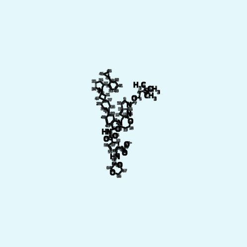 C[Si](C)(C)CCOCn1ccc2cc3c(nc21)OCCCN3c1cc(N2CCC3(CC2)CC(N2CCCC2c2ccccc2C2CC2)C3)ccc1C(=O)NS(=O)(=O)c1ccc(NC[C@H]2COCCO2)c([N+](=O)[O-])c1